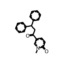 Cn1cc(C(=O)CC(c2ccccc2)c2ccccc2)ccc1=O